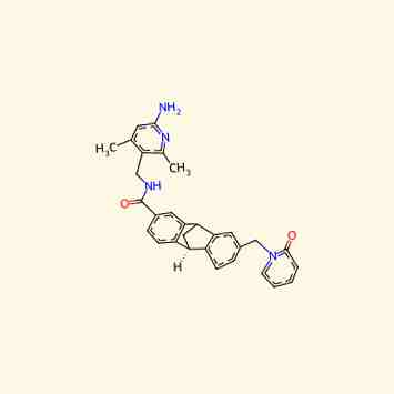 Cc1cc(N)nc(C)c1CNC(=O)c1ccc2c(c1)C1C[C@H]2c2ccc(Cn3ccccc3=O)cc21